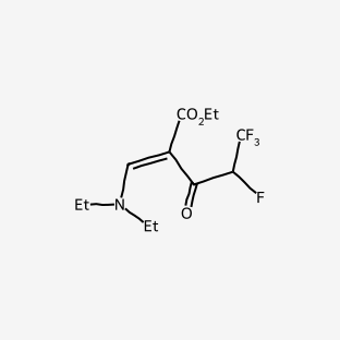 CCOC(=O)C(=CN(CC)CC)C(=O)C(F)C(F)(F)F